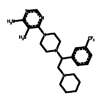 Bc1c(N)ncnc1N1CCN(C(CN2CCCCC2)c2cccc(C(F)(F)F)c2)CC1